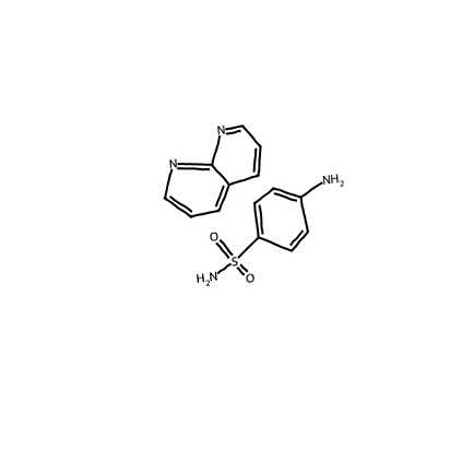 Nc1ccc(S(N)(=O)=O)cc1.c1cnc2ncccc2c1